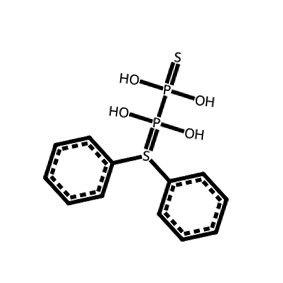 OP(O)(=S)P(O)(O)=S(c1ccccc1)c1ccccc1